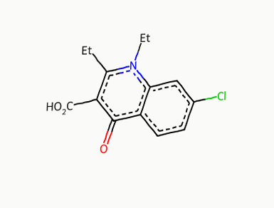 CCc1c(C(=O)O)c(=O)c2ccc(Cl)cc2n1CC